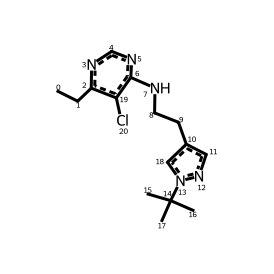 CCc1ncnc(NCCc2cnn(C(C)(C)C)c2)c1Cl